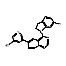 Oc1cncc(-c2ccc3ncnc(N4CCc5ccc(Cl)cc54)c3c2)c1